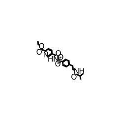 CCOC(=O)c1ccc(C(=O)NS(=O)(=O)c2ccc(CCNC(=O)C(C)C)cc2)cn1